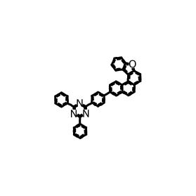 c1ccc(-c2nc(-c3ccccc3)nc(-c3ccc(-c4ccc5c(ccc6ccc7oc8ccccc8c7c65)c4)cc3)n2)cc1